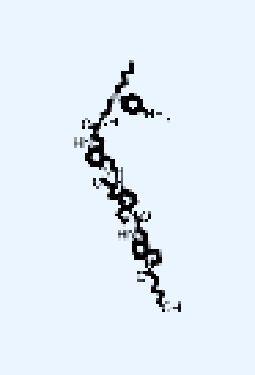 CCCCCN(CCCNC(=O)c1cc2c3c(ccc2[nH]1)N(C(=O)c1cc2c4c(ccc2[nH]1)N(C(=O)c1cc2c5c(ccc2[nH]1)N(C(=O)CCCCO)CC5)CC4)CC3)c1ccc(N)cc1